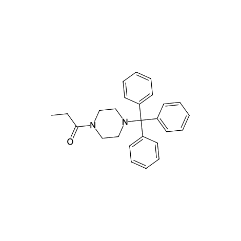 CCC(=O)N1CCN(C(c2ccccc2)(c2ccccc2)c2ccccc2)CC1